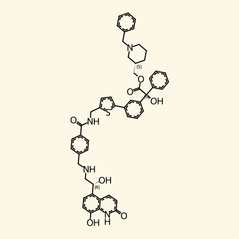 O=C(NCc1ccc(-c2cccc([C@](O)(C(=O)OC[C@H]3CCCN(Cc4ccccc4)C3)c3ccccc3)c2)s1)c1ccc(CNC[C@H](O)c2ccc(O)c3[nH]c(=O)ccc23)cc1